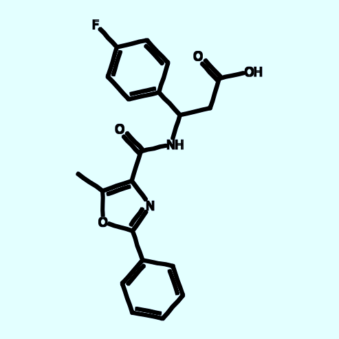 Cc1oc(-c2ccccc2)nc1C(=O)NC(CC(=O)O)c1ccc(F)cc1